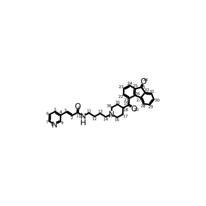 O=C(C=Cc1cccnc1)NCCCCN1CCC(C(=O)c2cccc3c2-c2ccccc2C3=O)CC1